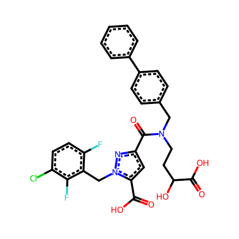 O=C(O)c1cc(C(=O)N(CCC(O)C(=O)O)Cc2ccc(-c3ccccc3)cc2)nn1Cc1c(F)ccc(Cl)c1F